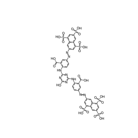 O=C(O)c1cc(/N=N/c2cc(S(=O)(=O)O)c3cc(S(=O)(=O)O)cc(S(=O)(=O)O)c3c2)ccc1Nc1nc(O)nc(Nc2ccc(/N=N/c3cc(S(=O)(=O)O)c4cc(S(=O)(=O)O)cc(S(=O)(=O)O)c4c3)cc2C(=O)O)n1